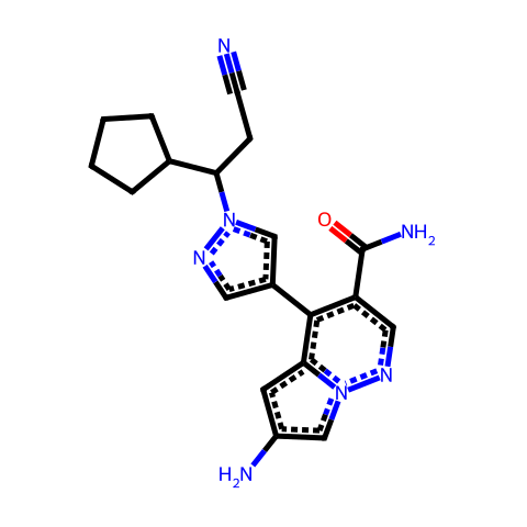 N#CCC(C1CCCC1)n1cc(-c2c(C(N)=O)cnn3cc(N)cc23)cn1